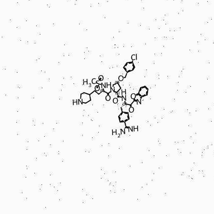 CS(=O)(=O)N[C@H](CCC1CCNCC1)C(=O)N1C[C@H](OCc2ccc(Cl)cc2)C[C@H]1C(=O)N[C@@H](Cc1ccc(C(=N)N)cc1)C(=O)c1nc2ccccc2o1